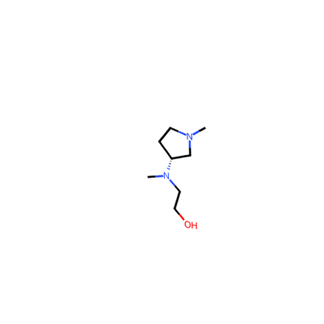 CN1CC[C@@H](N(C)CCO)C1